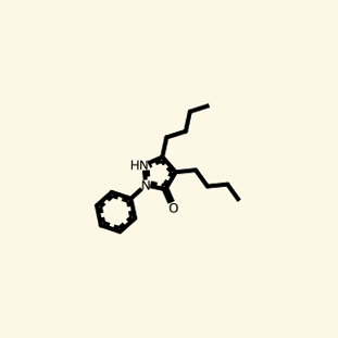 CCCCc1[nH]n(-c2ccccc2)c(=O)c1CCCC